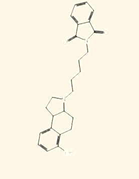 O=C1c2ccccc2C(=O)N1CCCCCN1CCC2c3cccc(O)c3CCC21